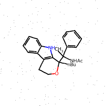 CCCCC1(C(C)(NC(C)=O)c2ccccc2)OCCc2c1[nH]c1ccccc21